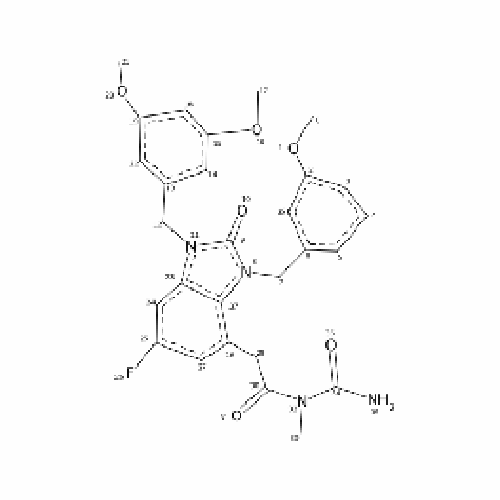 COc1cccc(Cn2c(=O)n(Cc3cc(OC)cc(OC)c3)c3cc(F)cc(CC(=O)N(C)C(N)=O)c32)c1